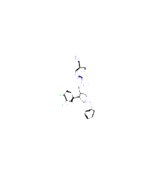 N#Cc1cnc(NCC2CN(Cc3ccccc3)CC2c2ccc(Cl)c(Cl)c2)nc1